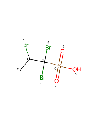 CC(Br)C(Br)(Br)S(=O)(=O)O